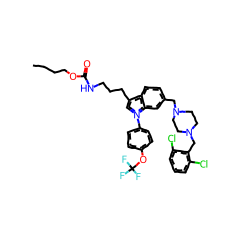 CCCCOC(=O)NCCCc1cn(-c2ccc(OC(F)(F)F)cc2)c2cc(CN3CCN(Cc4c(Cl)cccc4Cl)CC3)ccc12